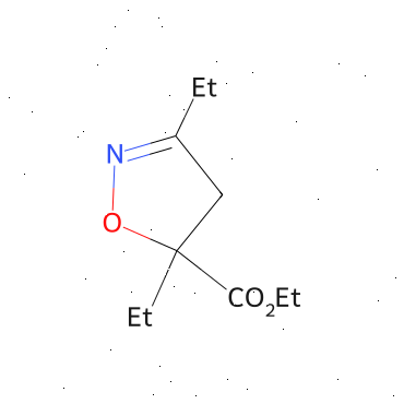 CCOC(=O)C1(CC)CC(CC)=NO1